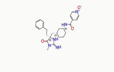 CN1C(=N)N[C@](CCc2ccccc2)(C[C@H]2CCC[C@@H](NC(=O)c3cc[n+]([O-])cc3)C2)C1=O